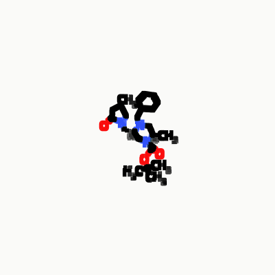 CC1CC(=O)N(C[C@H]2CN(C(=O)OC(C)(C)C)[C@H](C)CN2Cc2ccccc2)C1